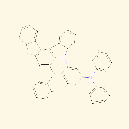 c1ccc(N(c2ccccc2)c2cc3c4c(c2)-n2c5ccccc5c5c6c(cc(c52)B4c2ccccc2S3)oc2ccccc26)cc1